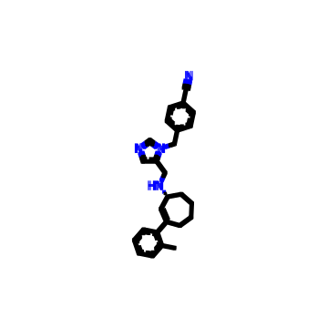 Cc1ccccc1C1=C[C@H](NCc2cncn2Cc2ccc(C#N)cc2)CCCC1